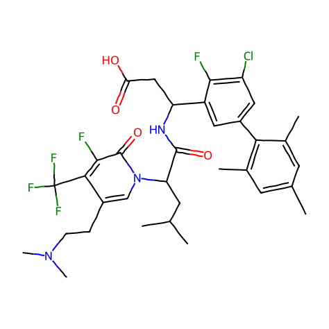 Cc1cc(C)c(-c2cc(Cl)c(F)c(C(CC(=O)O)NC(=O)C(CC(C)C)n3cc(CCN(C)C)c(C(F)(F)F)c(F)c3=O)c2)c(C)c1